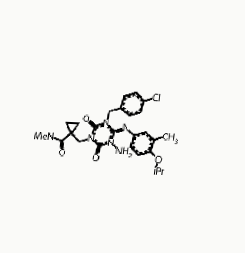 CNC(=O)C1(Cn2c(=O)n(N)/c(=N\c3ccc(OC(C)C)c(C)c3)n(Cc3ccc(Cl)cc3)c2=O)CC1